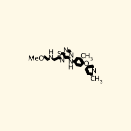 COCCNCc1nc2c(Nc3ccc(Oc4ccc(C)nc4)c(C)c3)ncnc2s1